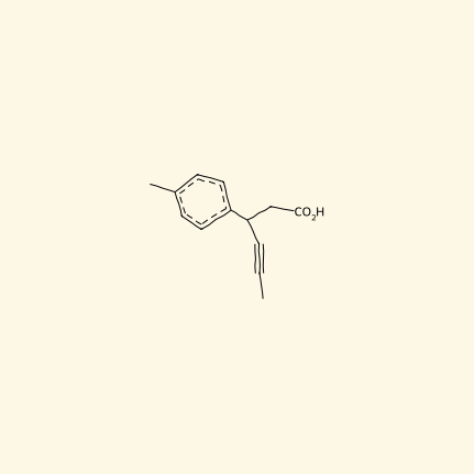 CC#CC(CC(=O)O)c1ccc(C)cc1